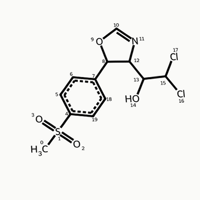 CS(=O)(=O)c1ccc(C2OC=NC2C(O)C(Cl)Cl)cc1